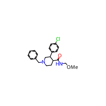 COCNC(=O)C1CCN(Cc2ccccc2)CC1c1ccc(Cl)cc1